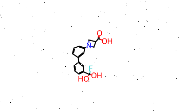 O=C(O)C1CN(c2cccc(-c3cccc(C(O)(O)F)c3)c2)C1